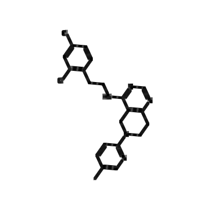 Cc1ccc(N2CCc3ncnc(NCCc4ccc(Cl)cc4Cl)c3C2)nc1